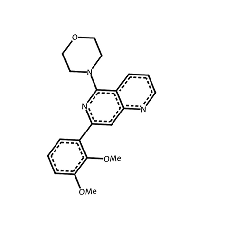 COc1cccc(-c2cc3ncccc3c(N3CCOCC3)n2)c1OC